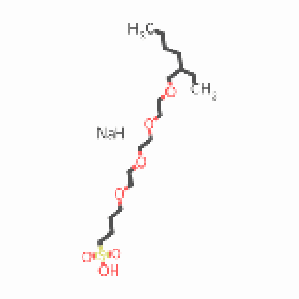 CCCCC(CC)COCCOCCOCCOCCCCS(=O)(=O)O.[NaH]